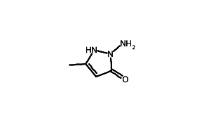 Cc1cc(=O)n(N)[nH]1